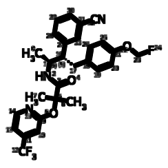 C[C@H](NC(=O)C(C)(C)Oc1cc(C(F)(F)F)ccn1)[C@@H](Cc1ccc(OCF)cc1)c1cccc(C#N)c1